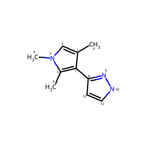 Cc1cn(C)c(C)c1C1=N[N]C=C1